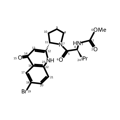 COC(=O)N[C@H](C(=O)N1CCC[C@H]1c1cc(=O)c2cc(Br)ccc2[nH]1)C(C)C